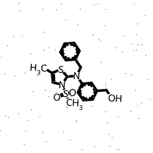 CC1=CN(S(C)(=O)=O)C(N(Cc2ccccc2)c2cccc(CO)c2)S1